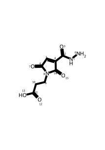 NNC(=O)C1=CC(=O)N(CCC(=O)O)C1=O